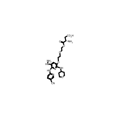 N#Cc1ccc(Nc2nc(NC3CCOCC3)c(OCCOCCOC(=O)[C@@H](N)CC(=O)O)cc2NN)nc1